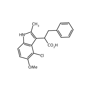 COc1ccc2[nH]c(C)c(C(Cc3ccccc3)C(=O)O)c2c1Cl